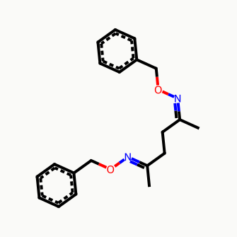 CC(CCC(C)=NOCc1ccccc1)=NOCc1ccccc1